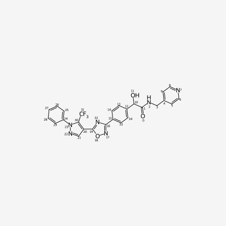 O=C(NCc1ccncc1)C(O)c1ccc(-c2noc(-c3cnn(-c4ccccc4)c3C(F)(F)F)n2)cc1